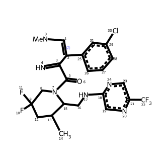 CN/C=C(\C(=N)C(=O)N1CC(F)(F)CC(C)C1CNc1cnc(C(F)(F)F)cn1)c1cccc(Cl)c1